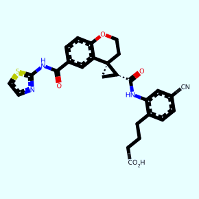 N#Cc1ccc(CCCC(=O)O)c(NC(=O)[C@@H]2C[C@]23CCOc2ccc(C(=O)Nc4nccs4)cc23)c1